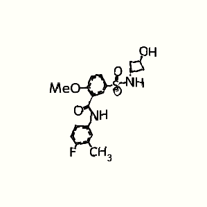 COc1ccc(S(=O)(=O)N[C@H]2C[C@H](O)C2)cc1C(=O)Nc1ccc(F)c(C)c1